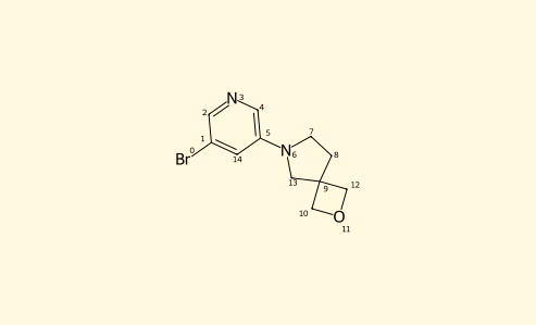 Brc1cncc(N2CCC3(COC3)C2)c1